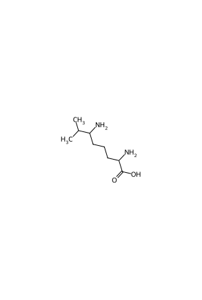 CC(C)C(N)CCCC(N)C(=O)O